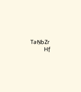 [Hf].[Nb].[Ta].[Zr]